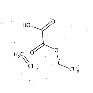 C=C.CCOC(=O)C(=O)O